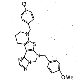 COc1ccc(CN2Cn3ncnc3-c3c2sc2c3CCCN2Cc2ccc(Cl)cc2)cc1